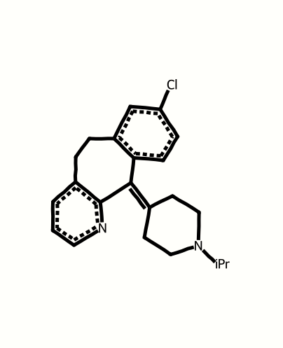 CC(C)N1CCC(=C2c3ccc(Cl)cc3CCc3cccnc32)CC1